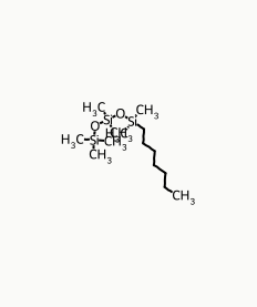 CCCCCCC[Si](C)(C)O[Si](C)(C)O[Si](C)(C)C